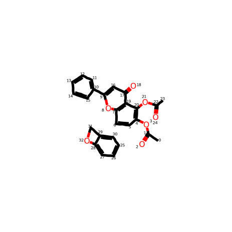 CC(=O)Oc1ccc2oc(-c3ccccc3)cc(=O)c2c1OC(C)=O.c1ccc2c(c1)CO2